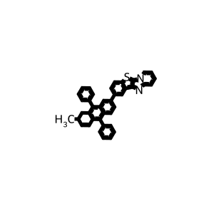 CC1C=Cc2c(c(-c3ccccc3)c3cc(-c4ccc5sc6c(nc7ccccn76)c5c4)ccc3c2-c2ccccc2)C1